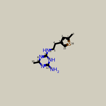 Cc1cc(CCNC2=NC(C)N=C(N)N2)cs1